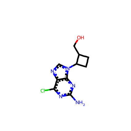 Nc1nc(Cl)c2ncn(C3CCC3CO)c2n1